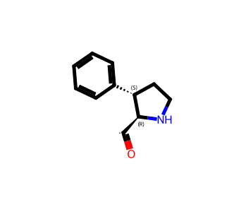 O=[C][C@@H]1NCC[C@H]1c1ccccc1